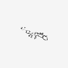 Cc1ccc(S(=O)(=O)C(=O)C(Cl)C(=O)[C@@H](N)Cc2ccccc2)cc1